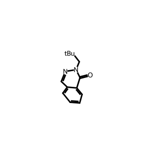 CC(C)(C)Cn1ncc2ccccc2c1=O